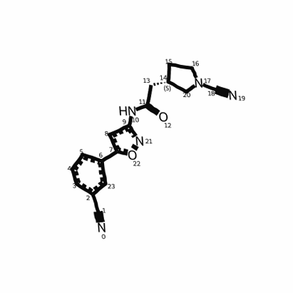 N#Cc1cccc(-c2cc(NC(=O)C[C@@H]3CCN(C#N)C3)no2)c1